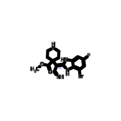 COC(=O)C1(/C(C=N)=C2\Nc3cc(F)cc(Br)c3N2)CCNCC1